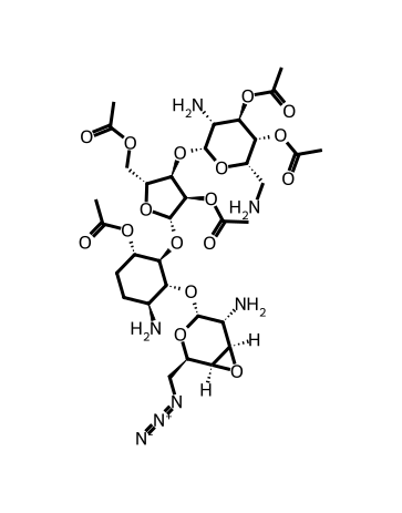 CC(=O)OC[C@H]1O[C@@H](O[C@H]2[C@H](O[C@H]3O[C@H](CN=[N+]=[N-])[C@@H]4O[C@@H]4[C@H]3N)[C@@H](N)CC[C@@H]2OC(C)=O)[C@H](OC(C)=O)[C@@H]1O[C@H]1O[C@@H](CN)[C@@H](OC(C)=O)[C@H](OC(C)=O)[C@H]1N